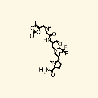 Cc1oc(=O)oc1CN(C)CC(=O)NC(C=O)CN(CC[C@H]1CCC(C(N)=O)N1C)CC(F)(F)F